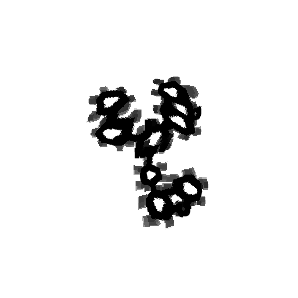 c1ccc(-c2cccc(-c3nc(-c4ccc(-c5cccc6oc7ccccc7c56)cc4)nc(-c4ccc5oc6ccccc6c5c4)n3)c2)cc1